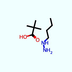 CC(C)(C)C(=O)O.CCCCNN